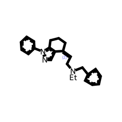 CCN(C/C=C1/CCCc2c1cnn2-c1ccccc1)Cc1ccccc1